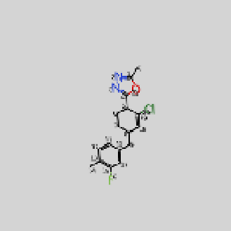 Cc1nnc(C2CCC(Cc3ccc(C)c(F)c3)C=C2Cl)o1